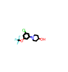 OC1CCN(c2cc(Cl)cc(OC(F)(F)F)c2)CC1